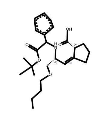 CCCCOC[C@@H](/C=C1/CCC[C@H]1C(=O)O)NC(C(=O)OC(C)(C)C)c1ccccc1